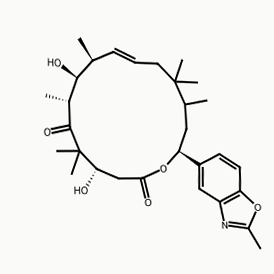 Cc1nc2cc([C@@H]3CC(C)C(C)(C)C/C=C/[C@H](C)[C@H](O)[C@@H](C)C(=O)C(C)(C)[C@@H](O)CC(=O)O3)ccc2o1